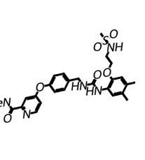 CNC(=O)c1cc(Oc2ccc(CNC(=O)Nc3cc(C)c(C)cc3OCCNS(C)(=O)=O)cc2)ccn1